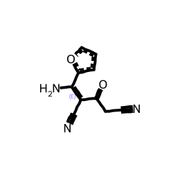 N#CCC(=O)/C(C#N)=C(/N)c1ccco1